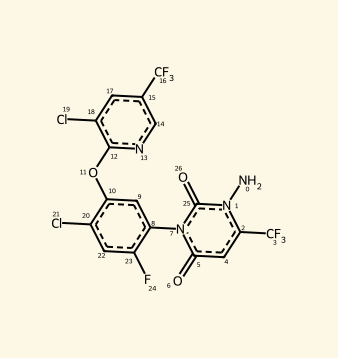 Nn1c(C(F)(F)F)cc(=O)n(-c2cc(Oc3ncc(C(F)(F)F)cc3Cl)c(Cl)cc2F)c1=O